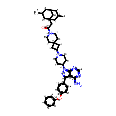 CCC1CC2CC(C)CC(CC(=O)N3CCC4(CC3)CC(N3CCC(n5nc(-c6ccc(Oc7ccccc7)cc6)c6c(N)ncnc65)CC3)C4)(C1)C2